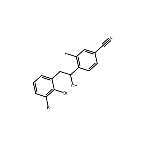 N#Cc1ccc(C(O)Cc2cccc(Br)c2Br)c(F)c1